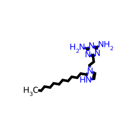 CCCCCCCCCCCC1NC=CN1CCc1nc(N)nc(N)n1